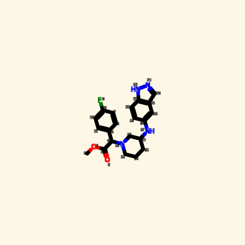 COC(=O)C(c1ccc(F)cc1)N1CCCC(Nc2ccc3[nH]ncc3c2)C1